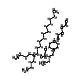 CCC(CN1CCOCC1)[N+](=O)[O-].CCCCCCCCCCCCN(CCCN)CCCN.O=COOC=O